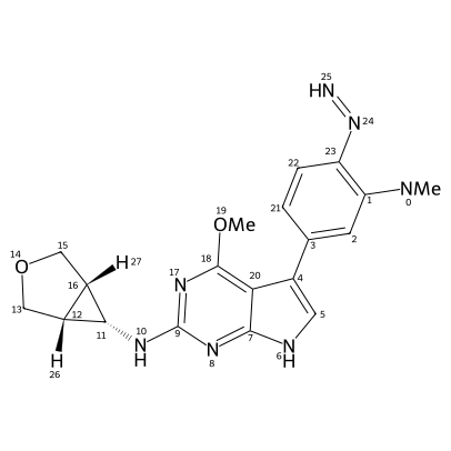 CNc1cc(-c2c[nH]c3nc(N[C@@H]4[C@@H]5COC[C@@H]54)nc(OC)c23)ccc1N=N